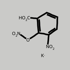 O=C(O)c1cccc([N+](=O)[O-])c1O[N+](=O)[O-].[K]